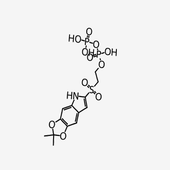 CC1(C)Oc2cc3cc(S(=O)(=O)CCOP(=O)(O)OP(=O)(O)O)[nH]c3cc2O1